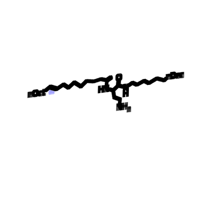 C=C(CCCCCCC/C=C/CCCCCCCC)NC(CCN)C(=O)NCCCCCCCCCCCCCCCC